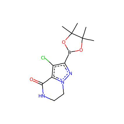 CC1(C)OB(c2nn3c(c2Cl)C(=O)NCC3)OC1(C)C